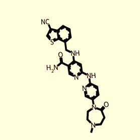 CN1CCC(=O)N(c2ccc(Nc3cc(NCc4cccc5c(C#N)csc45)c(C(N)=O)cn3)nc2)CC1